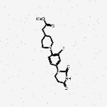 COC(=O)CC1CCN(c2ccc(N3CCC(=O)NC3=O)cc2F)CC1